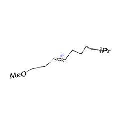 COCC/C=C/CCCC(C)C